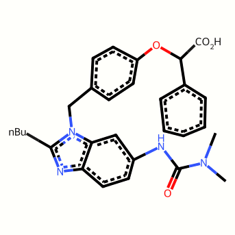 CCCCc1nc2ccc(NC(=O)N(C)C)cc2n1Cc1ccc(OC(C(=O)O)c2ccccc2)cc1